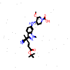 CO[C@@H]1CN(C(=O)O)CC[C@H]1Nc1ccc2c(C(C)(C#N)CCC(=O)OC(C)(C)C)nn(C)c2c1